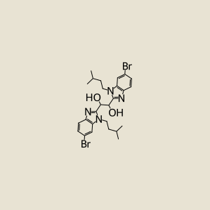 CC(C)CCn1c(C(O)C(O)c2nc3ccc(Br)cc3n2CCC(C)C)nc2ccc(Br)cc21